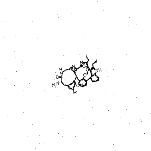 N[C@H]1Cc2cc(Br)c(O)c(c2)C2c3cccc(c3OCO)-c3cccc4[nH]c(CI)c(c34)-c3oc(nc3CI)-c3nc(oc32)CNC1=O